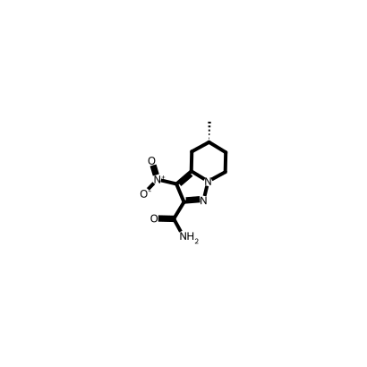 C[C@@H]1CCn2nc(C(N)=O)c([N+](=O)[O-])c2C1